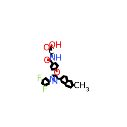 Cc1ccc2cc(-c3nn(-c4cc(F)cc(F)c4)cc3Oc3ccc(C(=O)NCCC(=O)O)cc3)ccc2c1